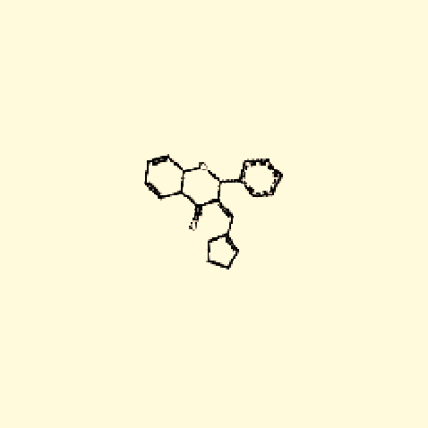 O=C1/C(=C\C2=CCCC2)C(c2ccccc2)OC2C=CC=CC12